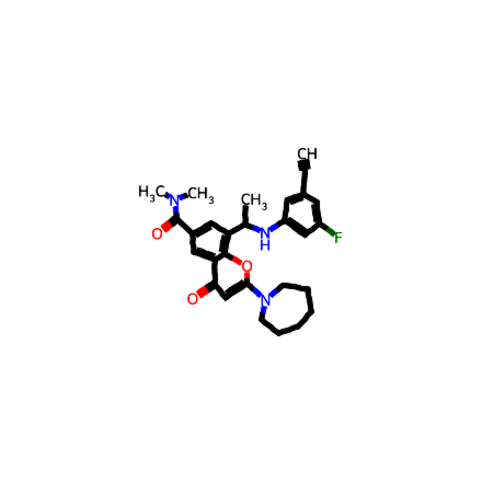 C#Cc1cc(F)cc(NC(C)c2cc(C(=O)N(C)C)cc3c(=O)cc(N4CCCCCC4)oc23)c1